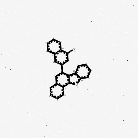 Brc1cc(-c2cc3ccccc3c3oc4ccccc4c23)cc2ccccc12